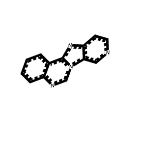 c1ccc2c(c1)ncn1c3cnccc3nc21